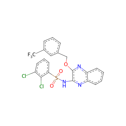 O=S(=O)(Nc1nc2ccccc2nc1OCc1cccc(C(F)(F)F)c1)c1cccc(Cl)c1Cl